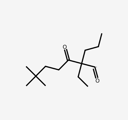 CCCC([C]=O)(CC)C(=O)CCC(C)(C)C